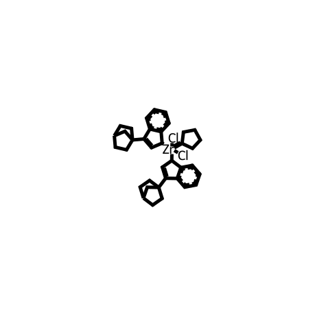 [Cl][Zr]([Cl])(=[C]1CCCC1)([CH]1C=C(C23CCC(CC2)C3)c2ccccc21)[CH]1C=C(C23CCC(CC2)C3)c2ccccc21